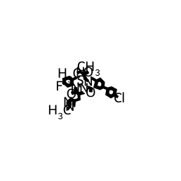 CN(C)C(=O)CN(Cc1ccc(-c2ccc(Cl)cc2)cc1)C(C=O)n1cc(Cc2cnn(C)c2)c(=O)nc1SCc1ccc(F)cc1